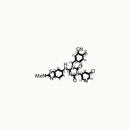 CNc1nc2ccc(Nc3nc(=O)n(-c4cncc(Cl)c4)c(=O)n3Cc3ccc(F)c(C#N)c3)cc2s1